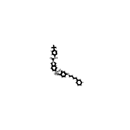 CC(C)(C)c1ccc(NC(=O)N2Cc3ccc(S(=O)(=O)Nc4ccc(OCCCCC5CCCCC5)cc4F)cc3C2)cc1